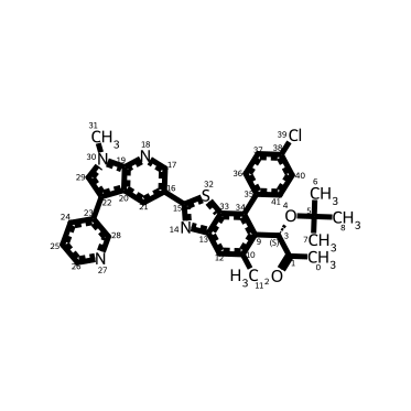 CC(=O)[C@@H](OC(C)(C)C)c1c(C)cc2nc(-c3cnc4c(c3)c(-c3cccnc3)cn4C)sc2c1-c1ccc(Cl)cc1